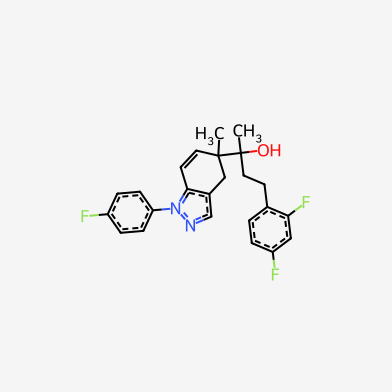 CC(O)(CCc1ccc(F)cc1F)C1(C)C=Cc2c(cnn2-c2ccc(F)cc2)C1